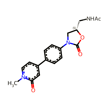 CC(=O)NC[C@H]1CN(c2ccc(-c3ccn(C)c(=O)c3)cc2)C(=O)O1